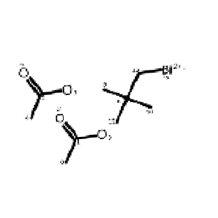 CC(=O)[O-].CC(=O)[O-].CC(C)(C)[CH2][Bi+2]